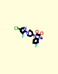 Cn1c(=O)c(=O)n(C2CCN(c3ncc(Cl)cc3F)CC2)c2ccc(F)cc21